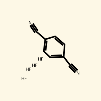 F.F.F.F.N#Cc1ccc(C#N)cc1